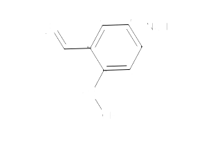 C=Cc1ccccc1OC.[NaH]